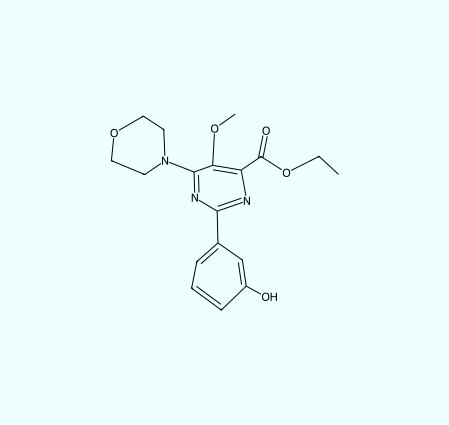 CCOC(=O)c1nc(-c2cccc(O)c2)nc(N2CCOCC2)c1OC